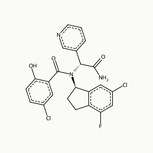 NC(=O)[C@@H](c1cccnc1)N(C(=O)c1cc(Cl)ccc1O)[C@@H]1CCc2c(F)cc(Cl)cc21